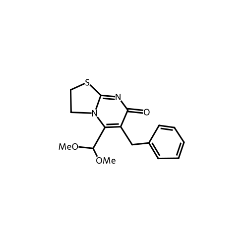 COC(OC)c1c(Cc2ccccc2)c(=O)nc2n1CCS2